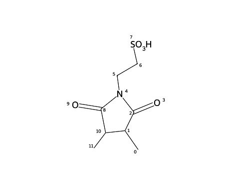 CC1C(=O)N(CCS(=O)(=O)O)C(=O)C1C